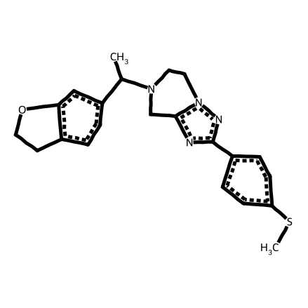 CSc1ccc(-c2nc3n(n2)CCN(C(C)c2ccc4c(c2)OCC4)C3)cc1